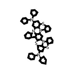 c1ccc(N(c2ccccc2)c2cc3c4c(c2)Sc2c(cc5c6c2c2ccccc2n6-c2cc(N(c6ccccc6)c6ccccc6)cc6c2B5c2ccccc2S6)B4c2ccccc2S3)cc1